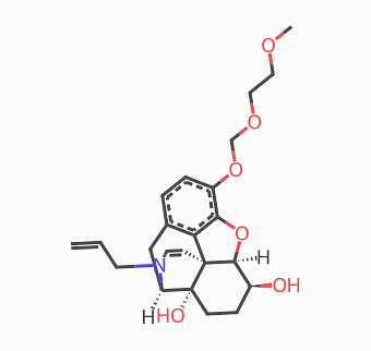 C=CCN1C=C[C@]23c4c5ccc(OCOCCOC)c4O[C@H]2[C@@H](O)CC[C@@]3(O)[C@H]1C5